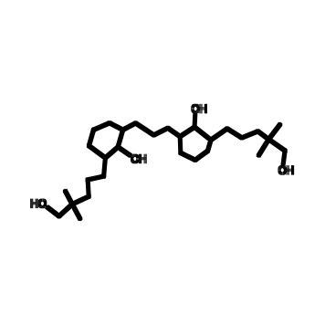 CC(C)(CO)CCCC1CCCC(CCCC2CCCC(CCCC(C)(C)CO)C2O)C1O